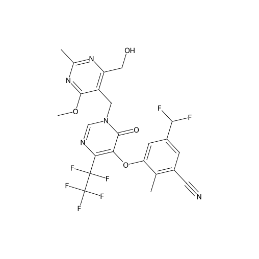 COc1nc(C)nc(CO)c1Cn1cnc(C(F)(F)C(F)(F)F)c(Oc2cc(C(F)F)cc(C#N)c2C)c1=O